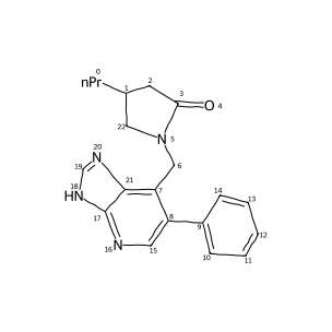 CCCC1CC(=O)N(Cc2c(-c3ccccc3)cnc3[nH]cnc23)C1